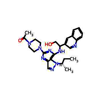 CC[C@H](C)n1ncc2nc(N3CCN(C(C)=O)CC3)nc(NC(CO)c3cnc4ccccc4c3)c21